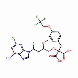 COC(COC(Cc1ccc(OCC(F)(F)F)cc1)(C(=O)O)C(=O)O)CC(F)n1cnc2c(N)nc(Cl)nc21